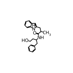 C[C](Cc1cc2ccccc2[nH]1)C(=O)NC(CCO)Cc1ccccc1